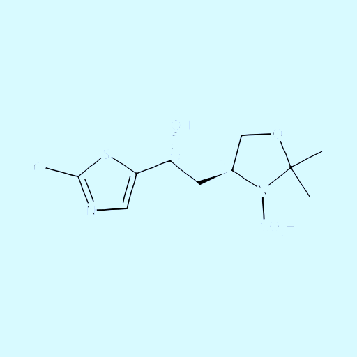 CC1(C)OC[C@H](C[C@@H](O)c2cnc(Cl)s2)N1C(=O)O